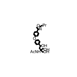 CC(=O)NC(CO)(CO)CC(O)c1ccc(Oc2ccc(-c3coc(C(C)C)n3)cc2)cc1